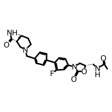 CC(=O)NC[C@H]1CN(c2ccc(-c3ccc(CN4CCC[C@@H](C(N)=O)C4)cc3)c(F)c2)C(=O)O1